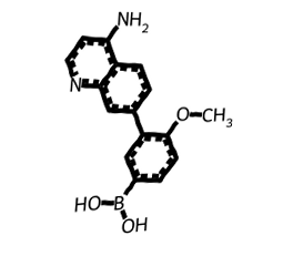 COc1ccc(B(O)O)cc1-c1ccc2c(N)ccnc2c1